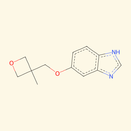 CC1(COc2ccc3[nH]cnc3c2)COC1